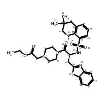 CCOC(=O)CN1CCN(C(=O)[C@H](Cc2nc3ccccc3s2)NS(=O)(=O)c2cccc3c2NCC(C)(C)C3)CC1